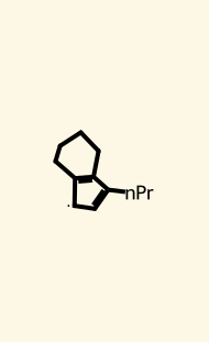 CCCC1=C[CH]C2=C1CCCC2